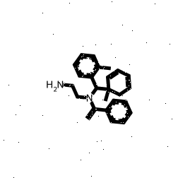 C=C(c1ccccc1)N(CCN)C(c1ccccc1C)C1(C)C=CC=CC1